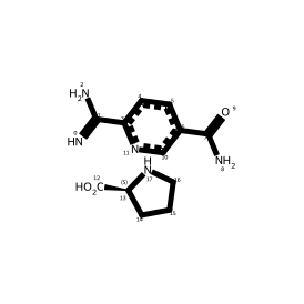 N=C(N)c1ccc(C(N)=O)cn1.O=C(O)[C@@H]1CCCN1